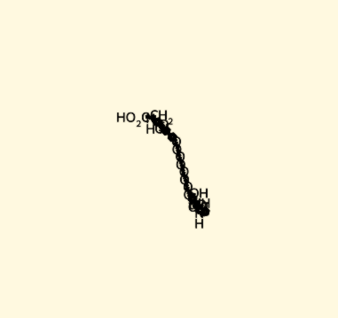 C=C(NCC(=O)O)c1ccc(S(=O)(=O)N2CCC(c3ccc(OCCOCCOCCOCCOCCOCCOCCOc4cc(C(C)(C)C)c(NC(=O)c5c[nH]c6ccccc6c5=O)cc4O)cc3)CC2)cc1